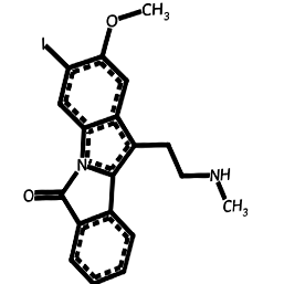 CNCCc1c2n(c3cc(I)c(OC)cc13)C(=O)c1ccccc1-2